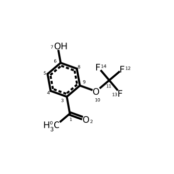 CC(=O)c1ccc(O)cc1OC(F)(F)F